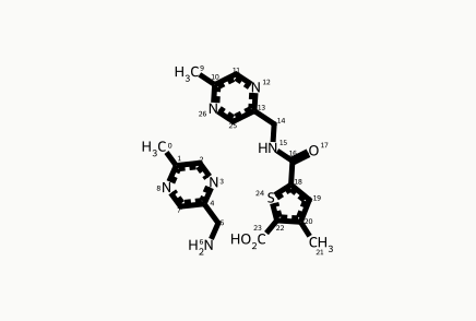 Cc1cnc(CN)cn1.Cc1cnc(CNC(=O)c2cc(C)c(C(=O)O)s2)cn1